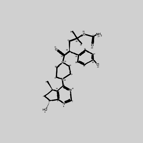 C[C@@H]1C[C@@H](O)c2ncnc(N3CCN(C(=O)[C@@H](CC(C)(C)OC(N)=O)c4ccc(Cl)cc4)CC3)c21